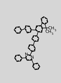 CC1(C)c2ccccc2-c2cc(-c3ccc(-c4ccccc4)cc3)c(-c3ccc(-c4ccc(-c5nc(-c6ccccc6)cc(-c6ccccc6)n5)cc4)cc3)cc21